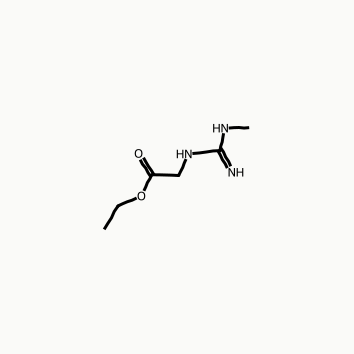 CCOC(=O)CNC(=N)NC